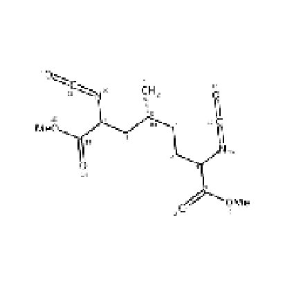 COC(=O)C(CC[C@@H](C)CC(N=C=O)C(=O)OC)N=C=O